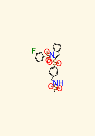 CS(=O)(=O)NCc1ccc(S(=O)(=O)c2cc3ccccc3n2S(=O)(=O)c2cccc(F)c2)cc1